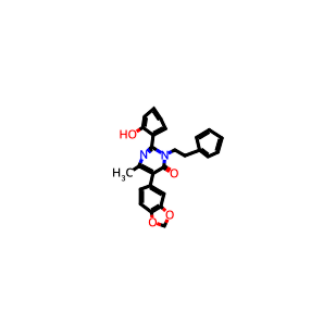 Cc1nc(-c2ccccc2O)n(CCc2ccccc2)c(=O)c1-c1ccc2c(c1)OCO2